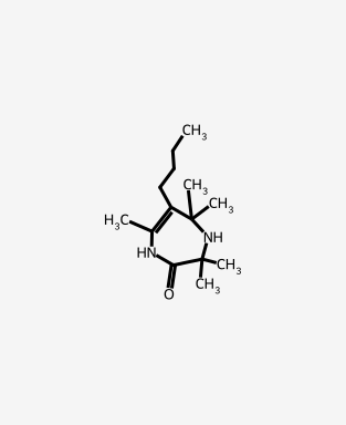 CCCCC1=C(C)NC(=O)C(C)(C)NC1(C)C